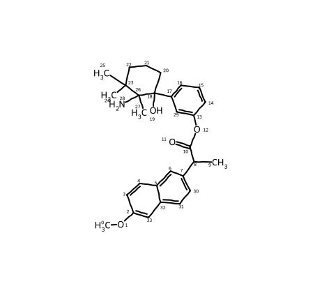 COc1ccc2cc(C(C)C(=O)Oc3cccc(C4(O)CCCC(C)(C)C4(C)N)c3)ccc2c1